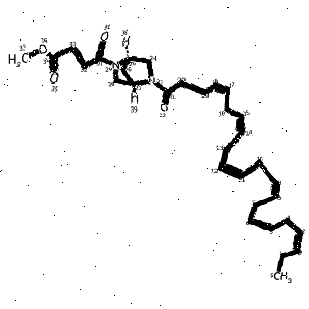 CC/C=C\C/C=C\C/C=C\C/C=C\C/C=C\C/C=C\CCC(=O)N1C[C@H]2C[C@H]1CN2C(=O)C=CC(=O)OC